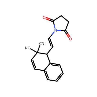 N#CC1(C#N)C=Cc2ccccc2C1C=CN1C(=O)CCC1=O